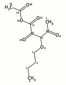 CCCCOC(C(C)=O)C(=O)C(=O)OC(C)=O